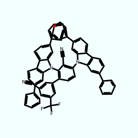 N#Cc1cc(-c2ccc(-n3c4cc(-c5ccccc5)ccc4c4ccc(-c5ccccc5)cc43)c(C#N)c2-n2c3cc(-c4ccccc4)ccc3c3ccc(-c4ccccc4)cc32)cc(C(F)(F)F)c1